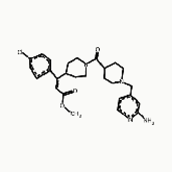 COC(=O)/C=C(/c1ccc(Cl)cc1)C1CCN(C(=O)C2CCN(Cc3ccnc(N)c3)CC2)CC1